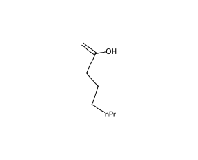 C=C(O)CCCCCC